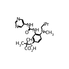 CC(C)CN(C)c1ccc(SC(C)(C)C(=O)O)cc1NC(=O)Nc1cncnc1